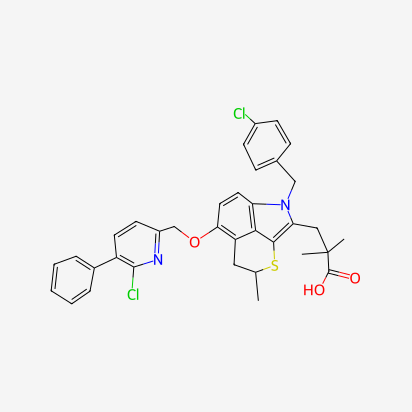 CC1Cc2c(OCc3ccc(-c4ccccc4)c(Cl)n3)ccc3c2c(c(CC(C)(C)C(=O)O)n3Cc2ccc(Cl)cc2)S1